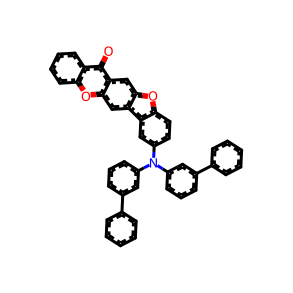 O=c1c2ccccc2oc2cc3c(cc12)oc1ccc(N(c2cccc(-c4ccccc4)c2)c2cccc(-c4ccccc4)c2)cc13